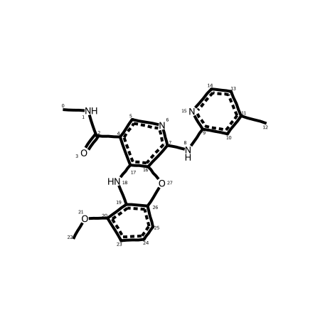 CNC(=O)c1cnc(Nc2cc(C)ccn2)c2c1Nc1c(OC)cccc1O2